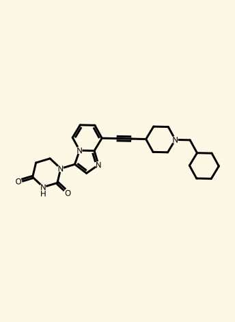 O=C1CCN(c2cnc3c(C#CC4CCN(CC5CCCCC5)CC4)cccn23)C(=O)N1